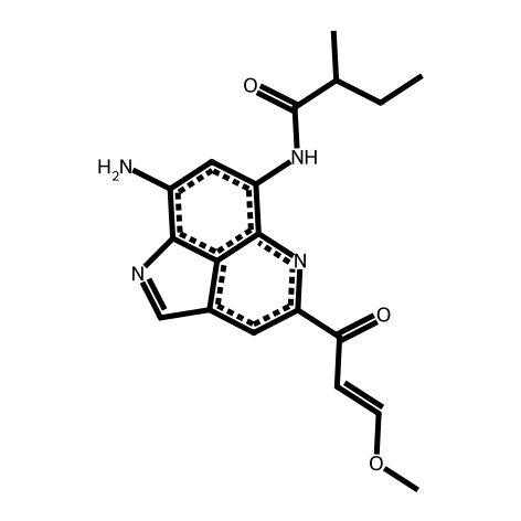 CCC(C)C(=O)Nc1cc(N)c2c3c(cc(C(=O)/C=C/OC)nc13)C=N2